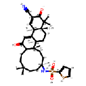 CC1(C)CCC2C(=O)C=C3[C@@]4(C)C=C(C#N)C(=O)C(C)(C)[C@@H]4CC[C@@]3(C)[C@]2(C)CC[C@@](C)(NS(=O)(=O)c2cccs2)CC1